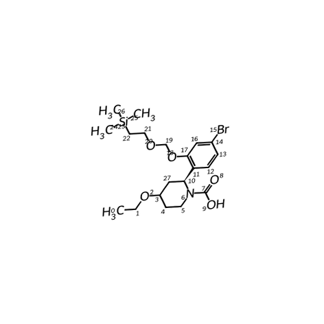 CCOC1CCN(C(=O)O)[C@H](c2ccc(Br)cc2OCOCC[Si](C)(C)C)C1